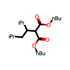 CCCCOC(=O)C(C(=O)OCCCC)C(CC(C)C)C(C)C